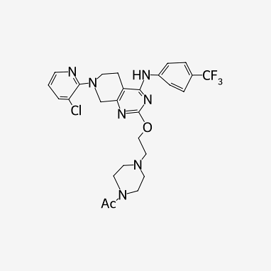 CC(=O)N1CCN(CCOc2nc3c(c(Nc4ccc(C(F)(F)F)cc4)n2)CCN(c2ncccc2Cl)C3)CC1